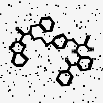 O=C(c1ccccc1)c1ccccc1N[C@@H](Cc1ccc(OCCN(Cc2ccccc2)C(=O)c2cnc3ccccc3n2)cc1)C(=O)O